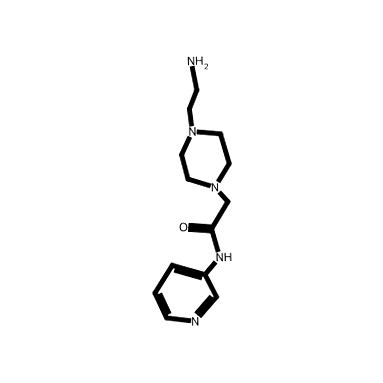 NCCN1CCN(CC(=O)Nc2cccnc2)CC1